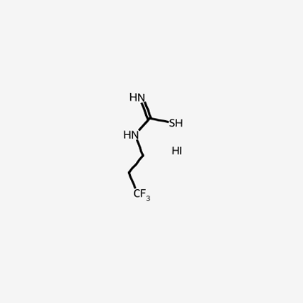 I.N=C(S)NCCC(F)(F)F